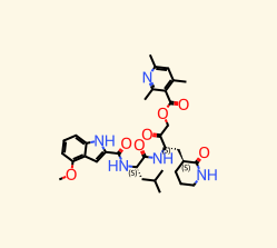 COc1cccc2[nH]c(C(=O)N[C@@H](CC(C)C)C(=O)N[C@@H](C[C@@H]3CCCNC3=O)C(=O)COC(=O)c3c(C)cc(C)nc3C)cc12